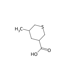 CC1CSCC(C(=O)O)C1